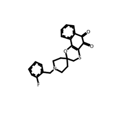 O=C1C(=O)c2ccccc2C2=C1SCC1(CCN(Cc3ccccc3F)CC1)O2